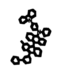 Cc1ccc2c(C3=CC(c4ccccc4)=CCC3)c3ccccc3c(-c3c4ccccc4c(N(c4ccccc4)c4ccc(-n5c6ccccc6c6ccccc65)cc4)c4ccccc34)c2c1